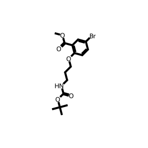 COC(=O)c1cc(Br)ccc1OCCCNC(=O)OC(C)(C)C